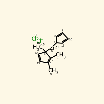 CC1=C(C)[C](C)([Zr+2][CH]2C=CC=C2)C=C1.[Cl-].[Cl-]